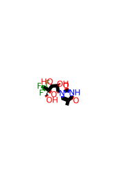 Cc1cn([C@@H]2O[C@@](CO)(C(F)(F)F)[C@@H](O)[C@H]2O)c(=O)[nH]c1=O